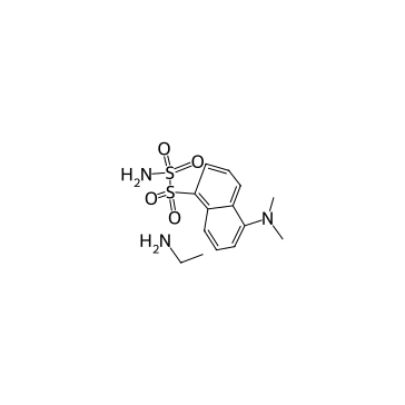 CCN.CN(C)c1cccc2c(S(=O)(=O)S(N)(=O)=O)cccc12